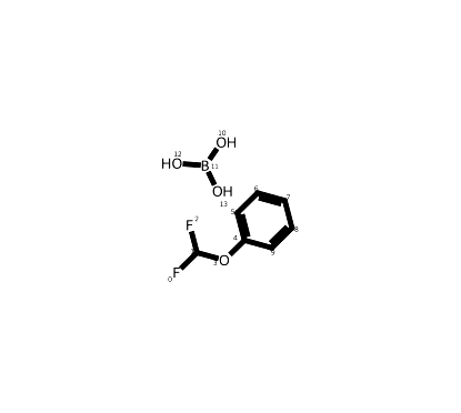 FC(F)Oc1ccccc1.OB(O)O